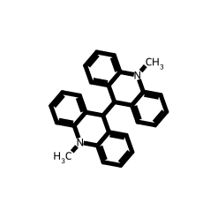 CN1c2ccccc2C(C2c3ccccc3N(C)c3ccccc32)c2ccccc21